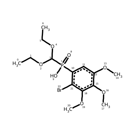 CCOC(OCC)P(=O)(O)c1cc(OC)c(OC)c(OC)c1Br